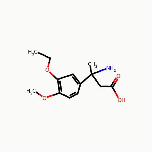 CCOc1cc(C(C)(N)CC(=O)O)ccc1OC